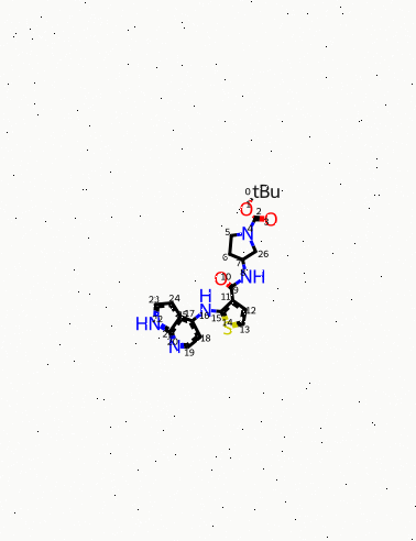 CC(C)(C)OC(=O)N1CCC(NC(=O)c2ccsc2Nc2ccnc3[nH]ccc23)C1